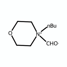 CCCC[N+]1([C]=O)CCOCC1